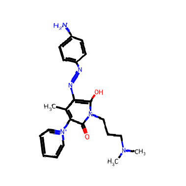 Cc1c(/N=N/c2ccc(N)cc2)c(O)n(CCCN(C)C)c(=O)c1-[n+]1ccccc1